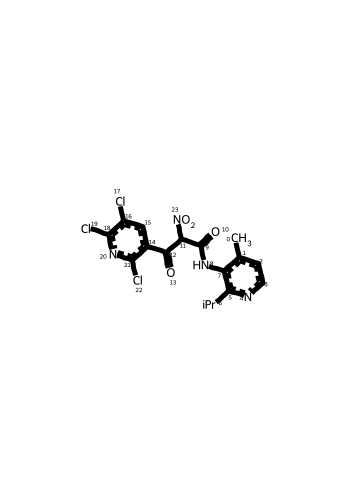 Cc1ccnc(C(C)C)c1NC(=O)C(C(=O)c1cc(Cl)c(Cl)nc1Cl)[N+](=O)[O-]